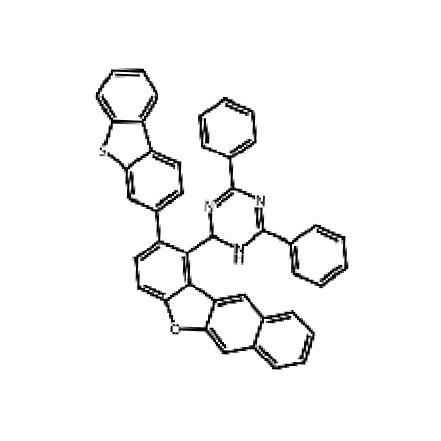 c1ccc(C2=NC(c3c(-c4ccc5c(c4)sc4ccccc45)ccc4oc5cc6ccccc6cc5c34)NC(c3ccccc3)=N2)cc1